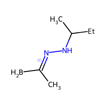 B/C(C)=N/NC(C)CC